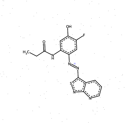 CCC(=O)Nc1cc(O)c(F)cc1/N=N/c1snc2ncccc12